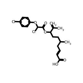 C=C(C)C(CCC(C)CC=CC(=O)O)OC(=O)C(Cl)Oc1ccc(Cl)cc1